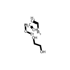 C=C.C=CC.CCOCC.OCCO